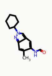 Cc1cc2nn(C3CCCCC3)cc2cc1NC=O